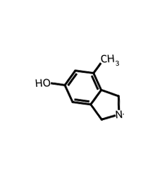 Cc1cc(O)cc2c1C[N]C2